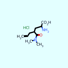 C=CCC(CC(N)C(=O)O)C(=O)N(C)C.Cl